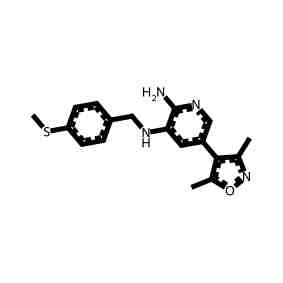 CSc1ccc(CNc2cc(-c3c(C)noc3C)cnc2N)cc1